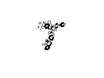 Nc1c(Cl)cc(C[C@@H](NC(=O)ON2CCC(N3CCc4ccccc4NC3=O)CC2)C(=O)N2CCN(c3ccncc3)CC2)cc1C(F)(F)F